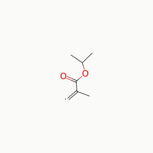 [CH]=C(C)C(=O)OC(C)C